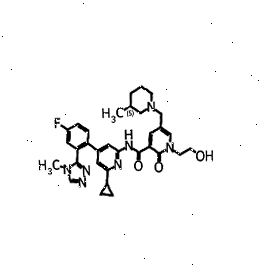 C[C@H]1CCCN(Cc2cc(C(=O)Nc3cc(-c4ccc(F)cc4-c4nncn4C)cc(C4CC4)n3)c(=O)n(CCO)c2)C1